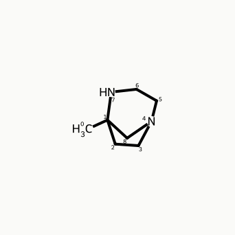 CC12CCN(CCN1)C2